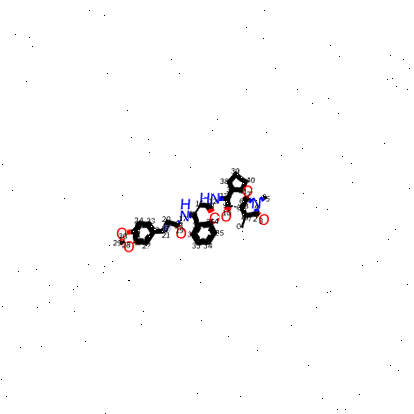 C[C@@H]1C(=O)N(C)C(=O)[C@H]1C(=O)C(NC(=O)C[C@H](NC(=O)/C=C/c1ccc2c(c1)OCO2)c1ccccc1)C1CCCC1